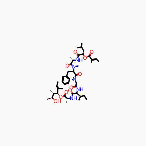 C/C=C(\C)C(=O)O[C@H](CC(C)C)C(=O)N[C@@H](C)C(=O)N(C)[C@H](Cc1ccccc1)C(=O)N(C)CC(=O)NC(C(=O)N[C@H](C)C(=O)O[C@H](/C(C)=C/C)[C@@H](C)[C@H](C)O)C(C)CC